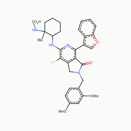 COc1ccc(CN2Cc3c(F)c(NC4CCCCC4(NC(=O)O)C(C)(C)C)nc(-c4coc5ccccc45)c3C2=O)c(OC)c1